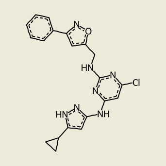 Clc1cc(Nc2cc(C3CC3)[nH]n2)nc(NCc2cc(-c3ccccc3)no2)n1